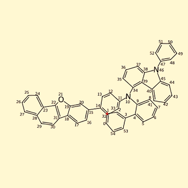 c1ccc(-c2ccccc2N(c2ccc(-c3ccc4c(c3)oc3c5ccccc5ccc43)cc2)c2cccc3c2c2ccccc2n3-c2ccccc2)cc1